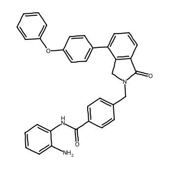 Nc1ccccc1NC(=O)c1ccc(CN2Cc3c(cccc3-c3ccc(Oc4ccccc4)cc3)C2=O)cc1